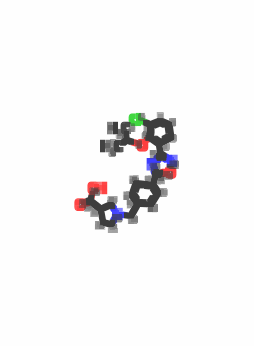 CC(C)Oc1c(Cl)cccc1-c1noc(-c2ccc(CN3CCC(C(=O)O)C3)cc2)n1